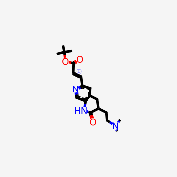 CN(C)CCC1Cc2cc(/C=C/C(=O)OC(C)(C)C)ncc2NC1=O